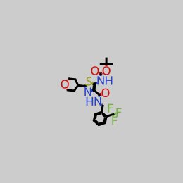 CC(C)(C)OC(=O)Nc1sc(C2CCOCC2)nc1C(=O)NCc1ccccc1C(F)(F)F